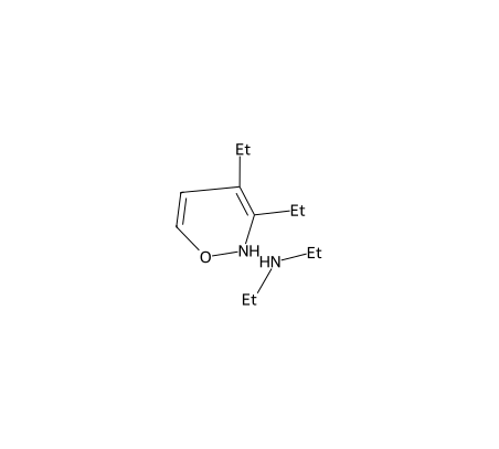 CCC1=C(CC)NOC=C1.CCNCC